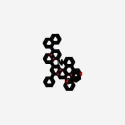 c1ccc(-c2cccc(-c3cccc(N(c4ccc(-c5cccc6ccccc56)cc4)c4ccc(-c5ccccc5)cc4-c4ccccc4)c3-c3cccc4oc5ccccc5c34)c2)cc1